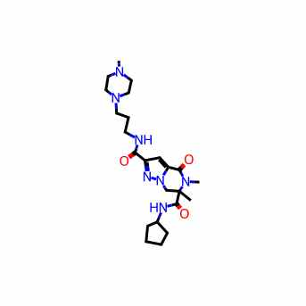 CN1CCN(CCCNC(=O)c2cc3n(n2)CC(C)(C(=O)NC2CCCC2)N(C)C3=O)CC1